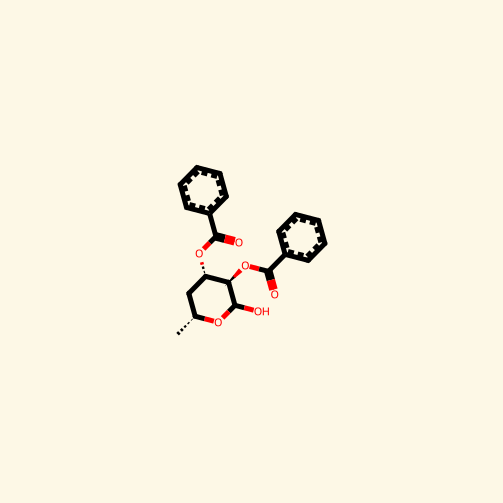 C[C@@H]1C[C@H](OC(=O)c2ccccc2)[C@@H](OC(=O)c2ccccc2)C(O)O1